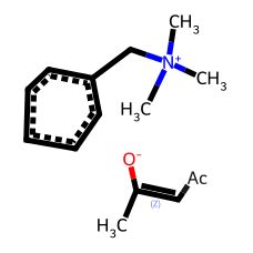 CC(=O)/C=C(/C)[O-].C[N+](C)(C)Cc1ccccc1